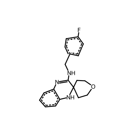 Fc1ccc(CNC2=Nc3ccccc3NC23CCOCC3)cc1